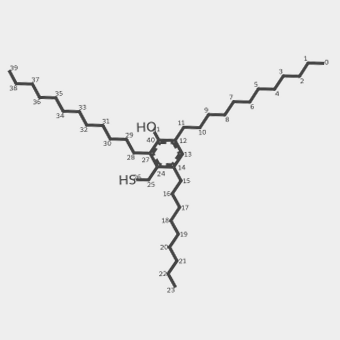 CCCCCCCCCCCCc1cc(CCCCCCCCC)c(CS)c(CCCCCCCCCCCC)c1O